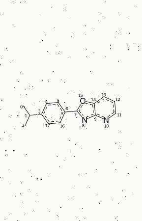 CC(C)c1ccc(-c2nc3ncccc3o2)cc1